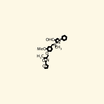 COc1cc(CN(C)c2nn(-c3ccccc3)cc2C=O)ccc1OCc1nc(-c2ccco2)oc1C